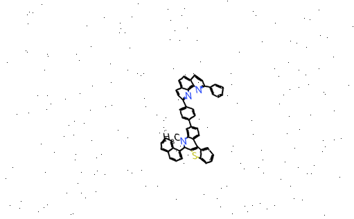 CN1c2cc(-c3ccc(-c4ccc5ccc6ccc(-c7ccccc7)nc6c5n4)cc3)ccc2-c2c(sc3ccccc23)C1c1cccc2ccccc12